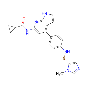 Cn1cncc1SNc1ccc(-c2cc(NC(=O)C3CC3)nc3[nH]ccc23)cc1